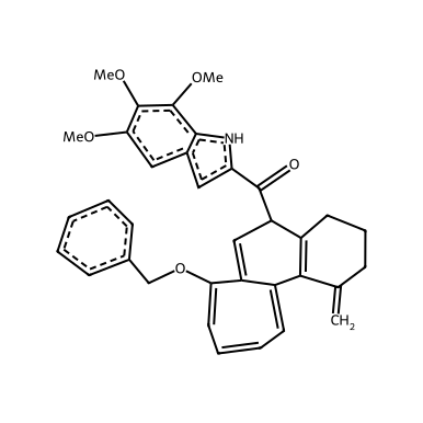 C=C1CCCC2=C1C1=CC=CC=C(OCc3ccccc3)C1=CC2C(=O)c1cc2cc(OC)c(OC)c(OC)c2[nH]1